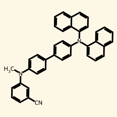 CN(c1ccc(-c2ccc(N(c3cccc4ccccc34)c3cccc4ccccc34)cc2)cc1)c1cccc(C#N)c1